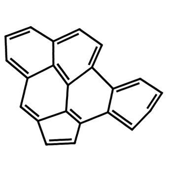 C1=Cc2c3ccccc3c3ccc4cccc5cc1c2c3c45